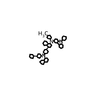 Cc1ccc(N(c2ccc3c(c2)c2ccccc2n3-c2ccccc2)c2ccc(-c3ccc(N(c4ccc(-c5ccccc5)cc4)c4cccc5ccccc45)cc3)c3ccccc23)cc1